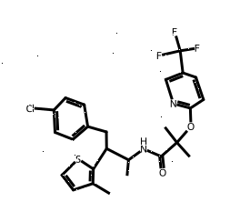 Cc1ccsc1C(Cc1ccc(Cl)cc1)C(C)NC(=O)C(C)(C)Oc1ccc(C(F)(F)F)cn1